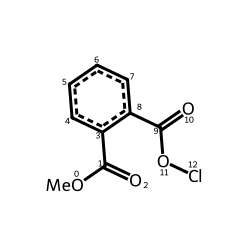 COC(=O)c1ccccc1C(=O)OCl